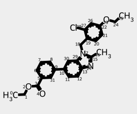 CCOC(=O)c1cccc(-c2ccc3nc(C)n(Cc4ccc(OCC)cc4Cl)c3c2)c1